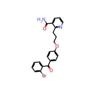 NC(=O)c1cccnc1CCCOc1ccc(C(=O)c2ccccc2Br)cc1